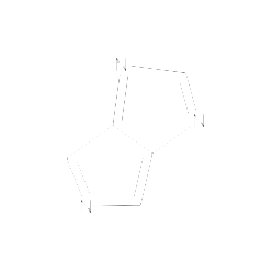 C1=NC=C2N=CN=C12